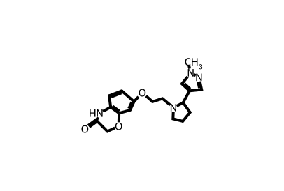 Cn1cc(C2CCCN2CCOc2ccc3c(c2)OCC(=O)N3)cn1